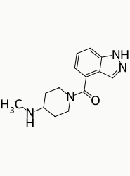 CNC1CCN(C(=O)c2cccc3[nH]ncc23)CC1